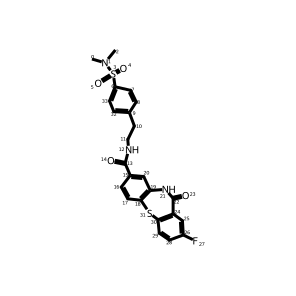 CN(C)S(=O)(=O)c1ccc(CCNC(=O)c2ccc3c(c2)NC(=O)c2cc(F)ccc2S3)cc1